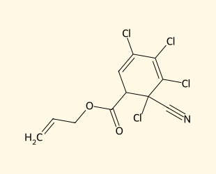 C=CCOC(=O)C1C=C(Cl)C(Cl)=C(Cl)C1(Cl)C#N